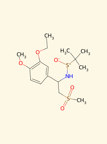 CCOc1cc(C(CS(C)(=O)=O)N[S+]([O-])C(C)(C)C)ccc1OC